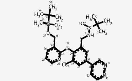 CC(C)(C)[S+]([O-])NCc1cc(-c2ccnnc2)cc(Cl)c1Sc1ncccc1CO[Si](C)(C)C(C)(C)C